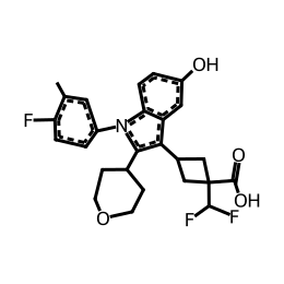 Cc1cc(-n2c(C3CCOCC3)c(C3CC(C(=O)O)(C(F)F)C3)c3cc(O)ccc32)ccc1F